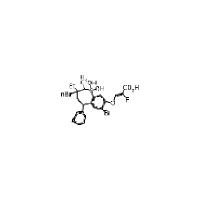 CCCCC1(CC)CC(c2ccccc2)c2cc(Br)c(O/C=C(\F)C(=O)O)cc2S(O)(O)C1C